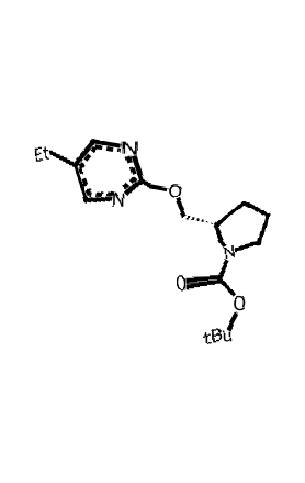 CCc1cnc(OC[C@@H]2CCCN2C(=O)OC(C)(C)C)nc1